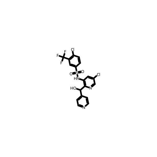 O=S(=O)(Nc1cc(Cl)cnc1C(O)c1ccncc1)c1ccc(Cl)c(C(F)(F)F)c1